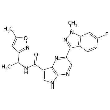 Cc1cc(C(C)NC(=O)c2c[nH]c3ncc(-c4nn(C)c5cc(F)ccc45)nc23)no1